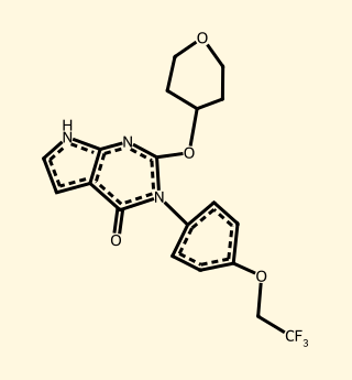 O=c1c2cc[nH]c2nc(OC2CCOCC2)n1-c1ccc(OCC(F)(F)F)cc1